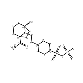 CS(=O)(=O)CS(=O)(=O)N1CCN(CCN2[C@@H]3C[CH]C[C@@]2(C(N)=O)CC3)CC1